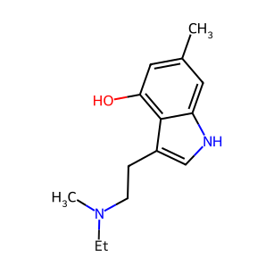 CCN(C)CCc1c[nH]c2cc(C)cc(O)c12